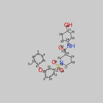 Cc1ccccc1Oc1cccc(S(=O)(=O)N2CCC[C@H](C(=O)NC3CCC(O)CC3)C2)c1